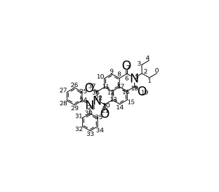 CCC(CC)N1C(=O)c2ccc3c4c(ccc(c24)C1=O)C(=O)N(N(c1ccccc1)c1ccccc1)C3=O